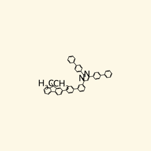 CC1(C)c2ccccc2-c2ccc(-c3ccc(-c4cccc(-c5cc(-c6ccc(-c7ccccc7)cc6)nc(-c6ccc(-c7ccccc7)cc6)n5)c4)cc3)cc21